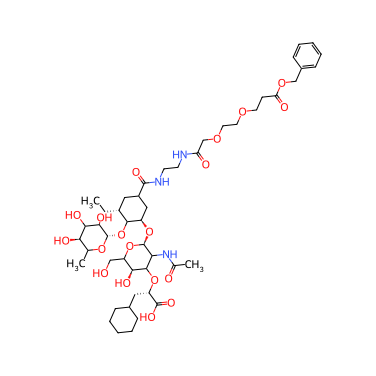 CC[C@@H]1CC(C(=O)NCCNC(=O)COCCOCCC(=O)OCc2ccccc2)C[C@@H](O[C@@H]2OC(CO)[C@H](O)C(O[C@@H](CC3CCCCC3)C(=O)O)C2NC(C)=O)C1O[C@@H]1OC(C)[C@@H](O)C(O)C1O